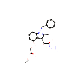 CCOC(=O)COc1cccc2c1c(C(O)C(N)=O)c(C)n2Cc1ccccc1